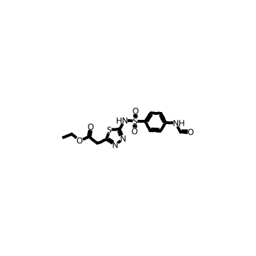 CCOC(=O)Cc1nnc(NS(=O)(=O)c2ccc(NC=O)cc2)s1